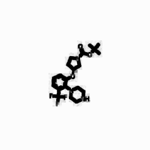 CC(C)(C)OC(=O)N1CC[C@H](Oc2cccc(C(F)(F)F)c2N2CCNCC2)C1